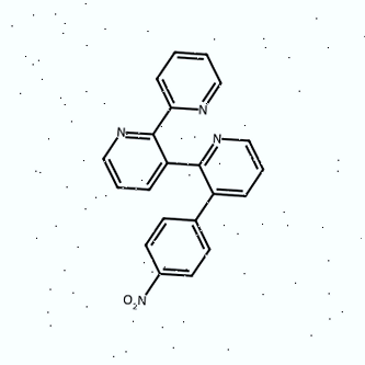 O=[N+]([O-])c1ccc(-c2cccnc2-c2cccnc2-c2ccccn2)cc1